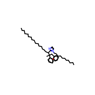 CCCCCCCCCCCCCCCCC(c1nccn1CCCCCCCCCCC)C(C)(Cc1ccccc1)c1ccccc1